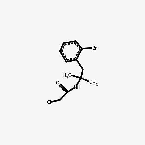 CC(C)(Cc1ccccc1Br)NC(=O)CCl